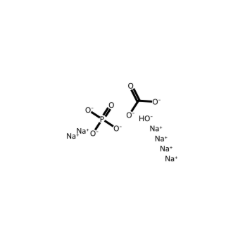 O=C([O-])[O-].O=P([O-])([O-])[O-].[Na+].[Na+].[Na+].[Na+].[Na+].[Na+].[OH-]